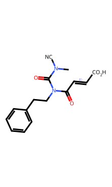 CN(C#N)C(=O)N(CCc1ccccc1)C(=O)/C=C/C(=O)O